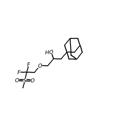 CS(=O)(=O)C(F)(F)COCC(O)CC12CC3CC(CC(C3)C1)C2